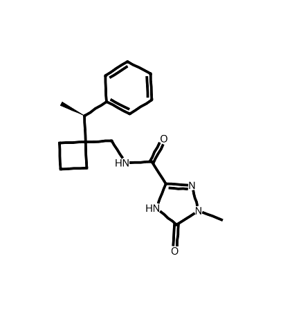 C[C@@H](c1ccccc1)C1(CNC(=O)c2nn(C)c(=O)[nH]2)CCC1